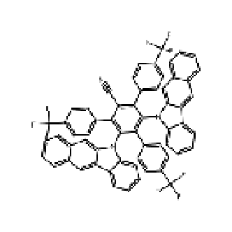 N#Cc1c(-c2ccc(C(F)(F)F)cc2)c(-n2c3ccccc3c3cc4ccccc4cc32)c(-c2ccc(C(F)(F)F)cc2)c(-n2c3ccccc3c3cc4ccccc4cc32)c1-c1ccc(C(F)(F)F)cc1